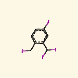 ICc1ccc(I)cc1C(I)I